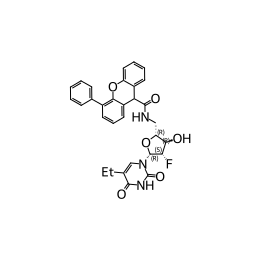 CCc1cn([C@@H]2O[C@H](CNC(=O)C3c4ccccc4Oc4c(-c5ccccc5)cccc43)[C@@H](O)[C@@H]2F)c(=O)[nH]c1=O